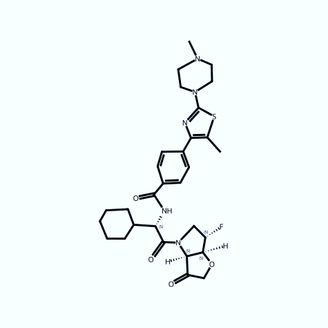 Cc1sc(N2CCN(C)CC2)nc1-c1ccc(C(=O)N[C@H](C(=O)N2C[C@H](F)[C@H]3OCC(=O)[C@H]32)C2CCCCC2)cc1